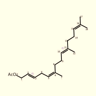 CC(=O)OC/C=C/CC=C(C)CC/C=C(\C)CCC=C(C)C